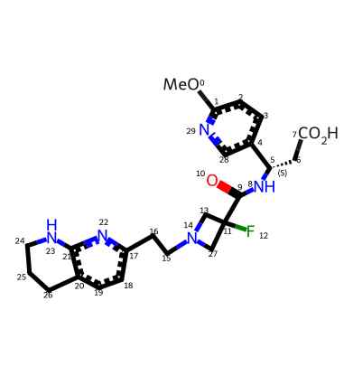 COc1ccc([C@H](CC(=O)O)NC(=O)C2(F)CN(CCc3ccc4c(n3)NCCC4)C2)cn1